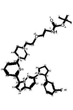 CC(C)(C)OC(=O)NCCOCCN1CCN(c2cccc(-c3cnc4ccc(N5CCCC5c5cccc(F)c5)nn34)n2)CC1